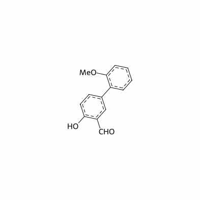 COc1ccccc1-c1ccc(O)c(C=O)c1